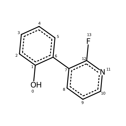 Oc1ccccc1-c1cccnc1F